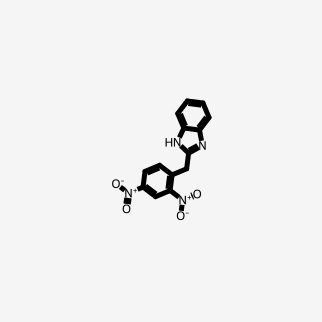 O=[N+]([O-])c1ccc(Cc2nc3ccccc3[nH]2)c([N+](=O)[O-])c1